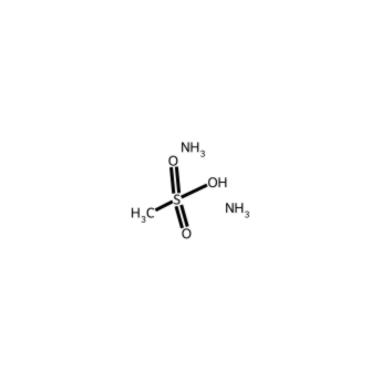 CS(=O)(=O)O.N.N